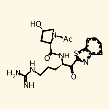 CC(=O)N1C[C@@H](O)C[C@@H]1C(=O)N[C@H](CCCNC(=N)N)C(=O)c1nc2ccccc2s1